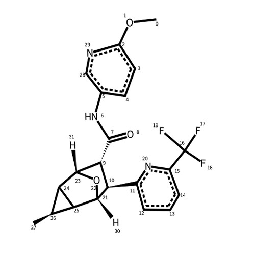 COc1ccc(NC(=O)[C@@H]2[C@@H](c3cccc(C(F)(F)F)n3)[C@H]3O[C@@H]2C2C3[C@H]2C)cn1